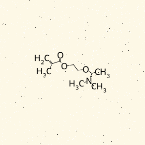 C=C(C)C(=O)OCCOC(C)N(C)C